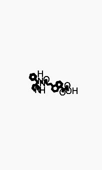 O=C(CCC1CCCc2c(C(=O)C(=O)O)cccc21)NNC(c1ccccc1)c1cccnc1